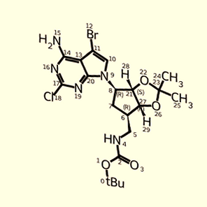 CC(C)(C)OC(=O)NC[C@H]1C[C@@H](n2cc(Br)c3c(N)nc(Cl)nc32)[C@@H]2OC(C)(C)O[C@H]12